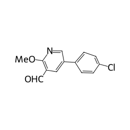 COc1ncc(-c2ccc(Cl)cc2)cc1C=O